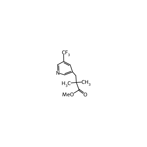 COC(=O)C(C)(C)Cc1cncc(C(F)(F)F)c1